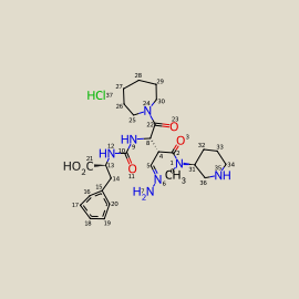 CN(C(=O)[C@H](C=NN)C(NC(=O)N[C@@H](Cc1ccccc1)C(=O)O)C(=O)N1CCCCCC1)[C@H]1CCCNC1.Cl